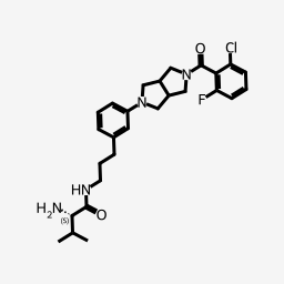 CC(C)[C@H](N)C(=O)NCCCc1cccc(N2CC3CN(C(=O)c4c(F)cccc4Cl)CC3C2)c1